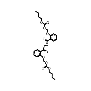 CCCCOC(=O)OCOc1ccccc1C(=O)OOC(=O)c1ccccc1OCOC(=O)OCCCC